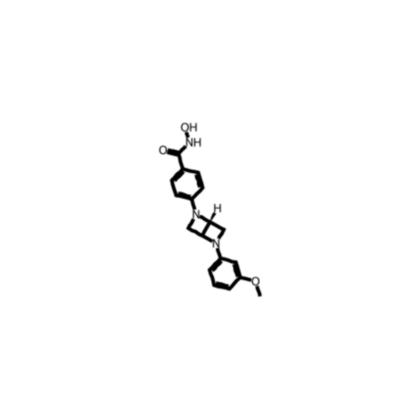 COc1cccc(N2C[C@@H]3C2CN3c2ccc(C(=O)NO)cc2)c1